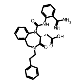 N=C(N)c1ccccc1NC(=O)N1c2ccccc2CN(CCc2ccccc2)C(=O)[C@H]1CC(=O)O